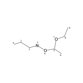 CCC[N]OC(C)OCC